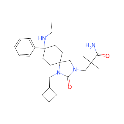 CCNC1(c2ccccc2)CCC2(CC1)CN(CC(C)(C)C(N)=O)C(=O)N2CC1CCC1